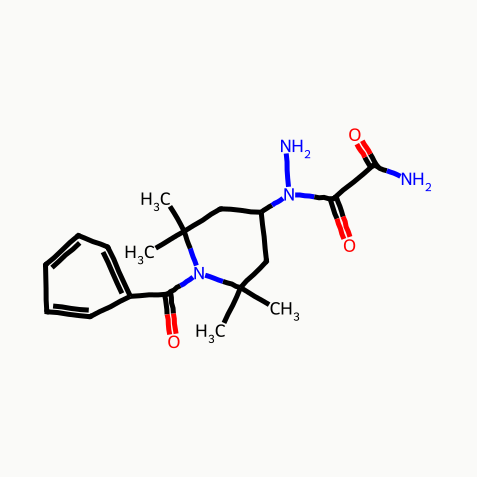 CC1(C)CC(N(N)C(=O)C(N)=O)CC(C)(C)N1C(=O)c1ccccc1